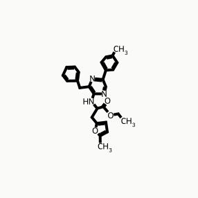 CCOC(=O)C(Cc1ccc(C)o1)Nc1ncc(-c2ccc(C)cc2)nc1Cc1ccccc1